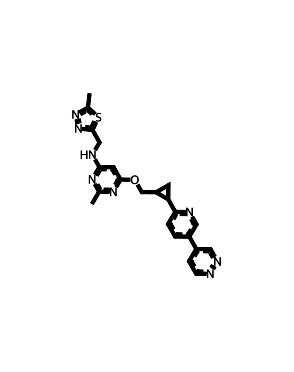 Cc1nc(NCc2nnc(C)s2)cc(OCC2CC2c2ccc(-c3ccnnc3)cn2)n1